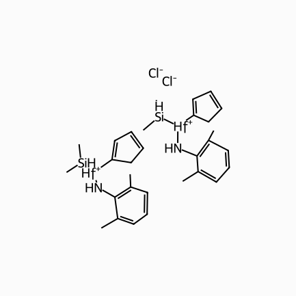 Cc1cccc(C)c1[NH][Hf+]([C]1=CC=CC1)[SiH](C)C.Cc1cccc(C)c1[NH][Hf+]([C]1=CC=CC1)[SiH](C)C.[Cl-].[Cl-]